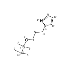 CC(C)(C)[Si](C)(C)OCCCn1cccn1